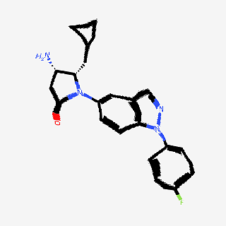 N[C@H]1CC(=O)N(c2ccc3c(cnn3-c3ccc(F)cc3)c2)[C@H]1CC1CC1